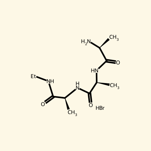 Br.CCNC(=O)[C@H](C)NC(=O)[C@H](C)NC(=O)[C@H](C)N